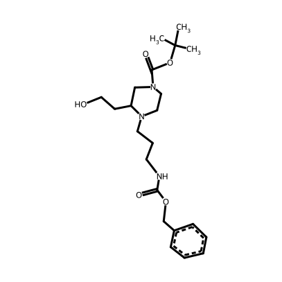 CC(C)(C)OC(=O)N1CCN(CCCNC(=O)OCc2ccccc2)C(CCO)C1